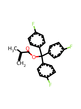 C=C(C)C(=O)OC(c1ccc(F)cc1)(c1ccc(F)cc1)c1ccc(F)cc1